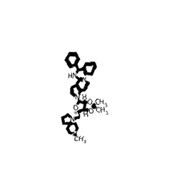 CN1CCC2(CCCN2C[C@H]2O[C@@H](n3ccc4c(NC(c5ccccc5)c5ccccc5)nccc43)[C@@H]3OC(C)(C)O[C@@H]32)CC1